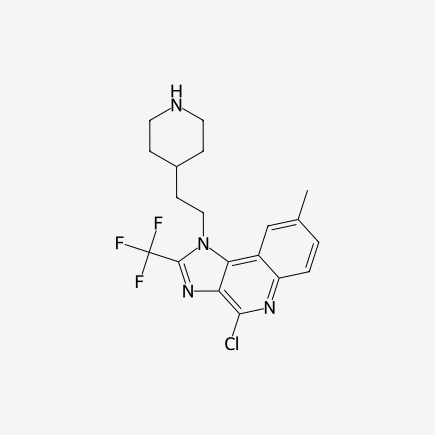 Cc1ccc2nc(Cl)c3nc(C(F)(F)F)n(CCC4CCNCC4)c3c2c1